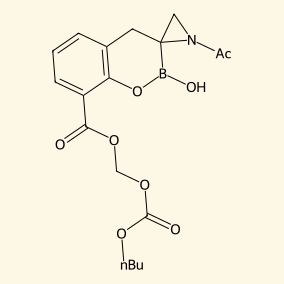 CCCCOC(=O)OCOC(=O)c1cccc2c1OB(O)C1(C2)CN1C(C)=O